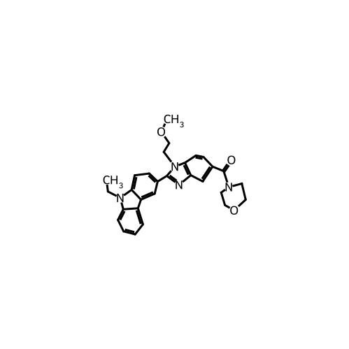 CCn1c2ccccc2c2cc(-c3nc4cc(C(=O)N5CCOCC5)ccc4n3CCOC)ccc21